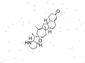 CC1=C2C[C@H]3[C@@H](CCC4=CC(=O)CC[C@@]43C)[C@]2(C)CC[C@@]2(C1)O[C@@H]1C[C@H](C)CN[C@H]1[C@H]2C